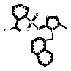 Cc1cs/c(=N\S(=O)(=O)c2ccccc2C(=O)O)n1Cc1cccc2ccccc12